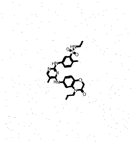 CCCN1C(=O)COc2ccc(Nc3nc(Nc4ccc(C)c(S(=O)(=O)NCC)c4)ncc3C)cc21